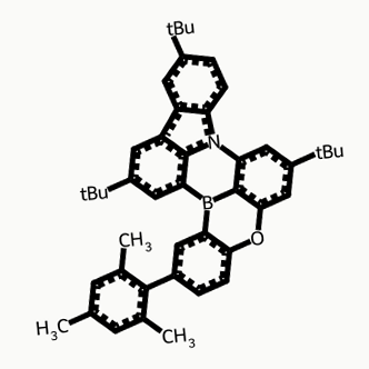 Cc1cc(C)c(-c2ccc3c(c2)B2c4c(cc(C(C)(C)C)cc4-n4c5ccc(C(C)(C)C)cc5c5cc(C(C)(C)C)cc2c54)O3)c(C)c1